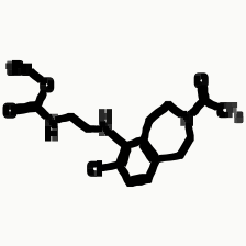 CC(C)(C)OC(=O)NCCNc1c(Cl)ccc2c1CCN(C(=O)C(F)(F)F)CC2